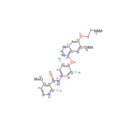 CNCCOc1cc2ncnc(Oc3c(F)cc(NC(=O)c4c(OC)ccnc4F)cc3F)c2cc1OC